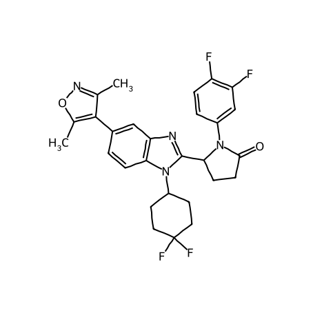 Cc1noc(C)c1-c1ccc2c(c1)nc(C1CCC(=O)N1c1ccc(F)c(F)c1)n2C1CCC(F)(F)CC1